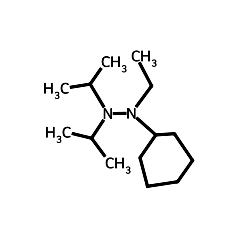 CCN(C1CCCCC1)N(C(C)C)C(C)C